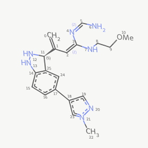 C=C(/C=C(\N=C/N)NCCOC)[C@@H]1NNc2ccc(-c3cnn(C)c3)cc21